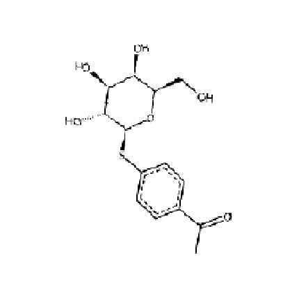 CC(=O)c1ccc(S[C@@H]2O[C@H](CO)[C@H](O)[C@H](O)[C@H]2O)cc1